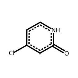 O=c1[c]c(Cl)cc[nH]1